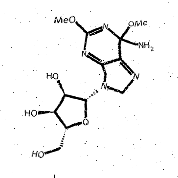 COC1=NC(N)(OC)C2=NCN([C@@H]3O[C@H](CO)[C@@H](O)[C@H]3O)C2=N1